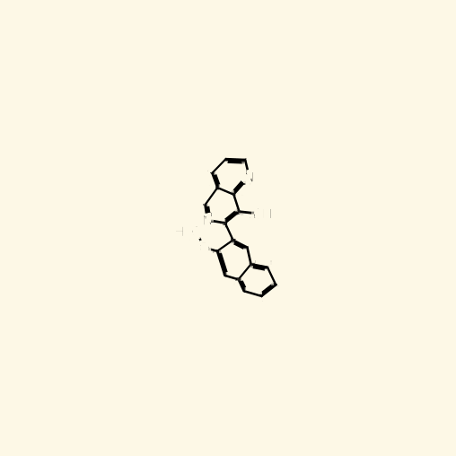 COc1cc2ccccc2cc1-c1ncc2cccnc2c1C